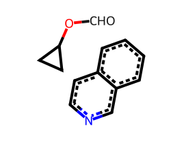 O=COC1CC1.c1ccc2cnccc2c1